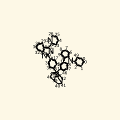 c1ccc(-n2c3ccccc3c3cc(C4(c5ccc(-c6nc(-c7ccccn7)c7ccccc7n6)cc5)C5CC6CC(C5)CC4C6)ccc32)cc1